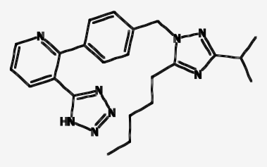 CCCCCc1nc(C(C)C)nn1Cc1ccc(-c2ncccc2-c2nnn[nH]2)cc1